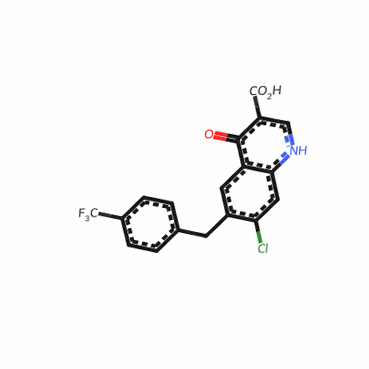 O=C(O)c1c[nH]c2cc(Cl)c(Cc3ccc(C(F)(F)F)cc3)cc2c1=O